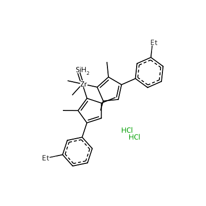 CCc1cccc(C2=CC(C)[C]([Zr]([CH3])([CH3])(=[SiH2])[C]3=C(C)C(c4cccc(CC)c4)=CC3C)=C2C)c1.Cl.Cl